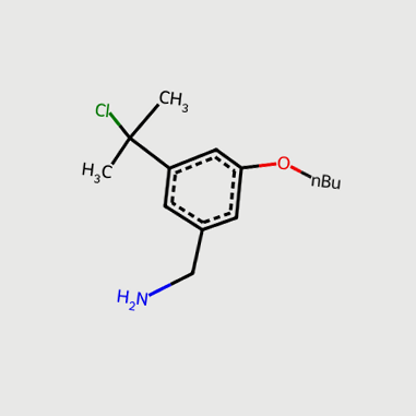 CCCCOc1cc(CN)cc(C(C)(C)Cl)c1